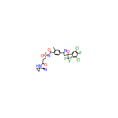 Cc1cc(C2=NOC(c3cc(Cl)c(F)c(Cl)c3)(C(F)(F)F)C2)ccc1C(=O)N=S(C)(=O)CCC(=O)NC1(C#N)CC1